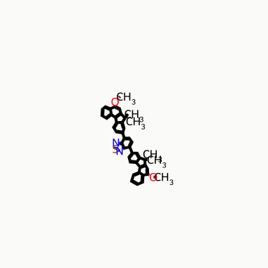 COc1cc2c(c3ccccc13)-c1ccc(-c3ccc(-c4ccc5c(c4)C(C)(C)c4cc(OC)c6ccccc6c4-5)c4nsnc34)cc1C2(C)C